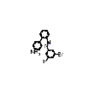 Brc1cc(Br)cc(/N=N/c2ccccc2-c2ccccc2)c1.N